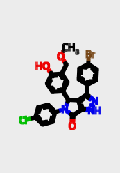 COCc1cc(C2c3c(-c4ccc(Br)cc4)n[nH]c3C(=O)N2c2ccc(Cl)cc2)ccc1O